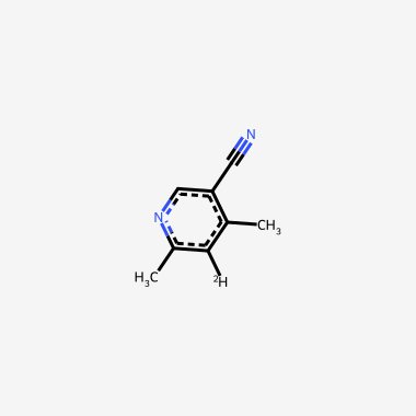 [2H]c1c(C)ncc(C#N)c1C